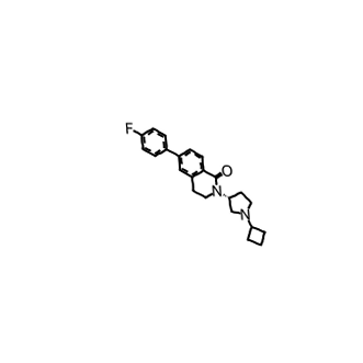 O=C1c2ccc(-c3ccc(F)cc3)cc2CCN1[C@@H]1CCN(C2CCC2)C1